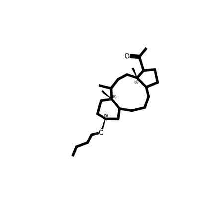 CCCCO[C@H]1CC[C@]2(C)C(C)CC[C@@]3(C)C(CCCC2C1)CCC3C(C)=O